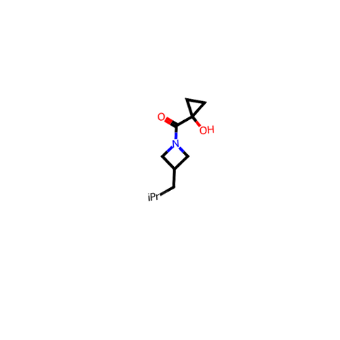 CC(C)CC1CN(C(=O)C2(O)CC2)C1